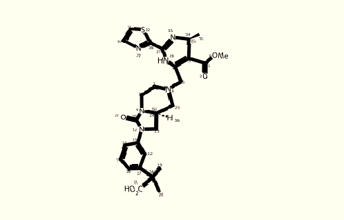 COC(=O)C1=C(CN2CCN3C(=O)N(c4cccc(C(C)(C)C(=O)O)c4)C[C@@H]3C2)NC(c2nccs2)=N[C@H]1C